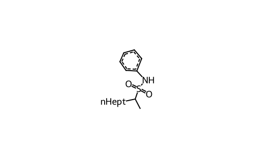 CCCCCCCC(C)S(=O)(=O)Nc1ccccc1